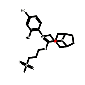 CS(=O)(=O)CCCOC(=O)N1CC2CCC(C1)N2CCOc1ccc(C#N)cc1C#N